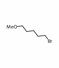 [CH2]OCCCCCBr